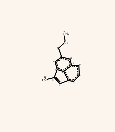 COCc1cc2c3c(cccc3c1)C=C2C